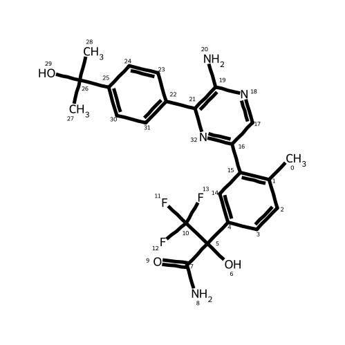 Cc1ccc(C(O)(C(N)=O)C(F)(F)F)cc1-c1cnc(N)c(-c2ccc(C(C)(C)O)cc2)n1